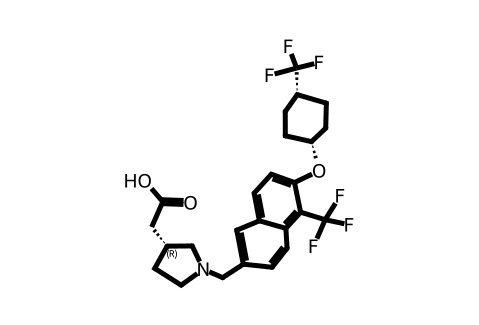 O=C(O)C[C@H]1CCN(Cc2ccc3c(C(F)(F)F)c(O[C@H]4CC[C@@H](C(F)(F)F)CC4)ccc3c2)C1